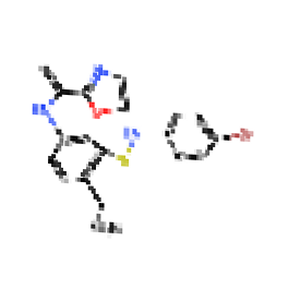 C=C(Nc1ccc(CC(=O)OCC)c(SNc2ccc(Br)cc2)c1)c1ncco1